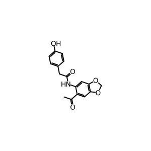 CC(=O)c1cc2c(cc1NC(=O)Cc1ccc(O)cc1)OCO2